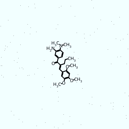 CCC/C(=C\c1cc(OC)c(OC)cc1OC)C(=O)c1ccc(N(C)C)c(N)c1